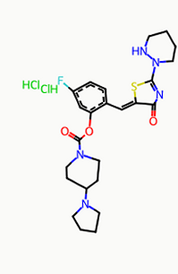 Cl.Cl.O=C1N=C(N2CCCCN2)SC1=Cc1ccc(F)cc1OC(=O)N1CCC(N2CCCC2)CC1